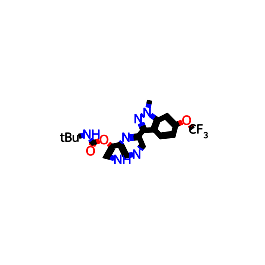 Cn1nc(-c2cnc3[nH]cc(OC(=O)NC(C)(C)C)c3n2)c2ccc(OC(F)(F)F)cc21